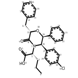 CCC[C@H](C(=O)O)N1C(=O)[C@H](Cc2ccncc2)O[C@@H](c2ccccc2)[C@H]1c1ccc(Cl)cc1